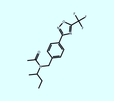 CCC(C)N(Cc1ccc(-c2noc(C(F)(F)F)n2)cc1)C(C)=O